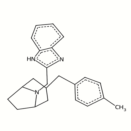 Cc1ccc(CC2CC3CCC(C2)N3Cc2nc3ccccc3[nH]2)cc1